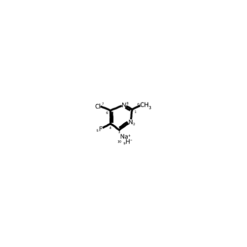 Cc1ncc(F)c(Cl)n1.[H-].[Na+]